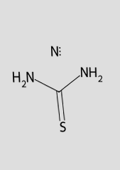 NC(N)=S.[N]